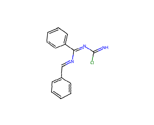 N=C(Cl)/N=C(\N=C\c1ccccc1)c1ccccc1